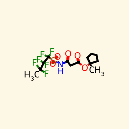 CC1(OC(=O)CC(=O)NS(=O)(=O)C(F)(F)C(F)(F)C(C)(F)F)CCCC1